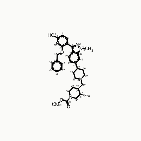 Cn1nc(-c2ccc(O)nc2OCc2ccccc2)c2ccc(C3CCN(C[C@@H]4CCN(C(=O)OC(C)(C)C)C[C@@H]4F)CC3)cc21